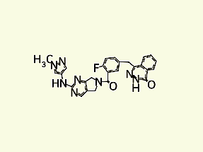 Cn1cc(Nc2ncc3c(n2)CN(C(=O)c2cc(Cc4n[nH]c(=O)c5ccccc45)ccc2F)C3)cn1